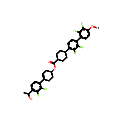 CCOc1ccc(-c2ccc(C3CCC(C(=O)OC4CC=C(c5ccc(C(C)O)c(F)c5F)CC4)CC3)c(F)c2F)c(F)c1F